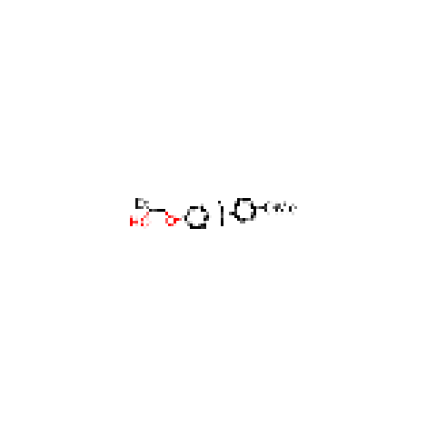 CCC(O)COc1ccc(C(C)(C)c2ccc(OC)cc2)cc1